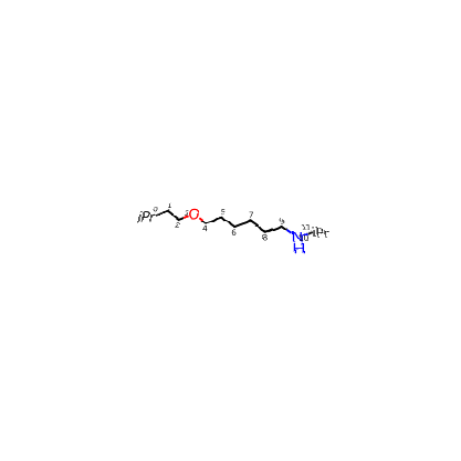 CC(C)CCOCCCCCCNC(C)C